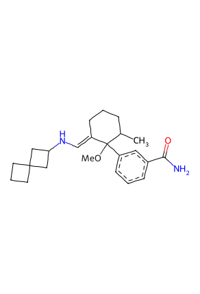 COC1(c2cccc(C(N)=O)c2)/C(=C/NC2CC3(CCC3)C2)CCCC1C